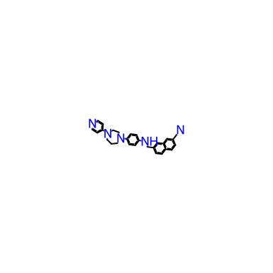 N#Cc1ccc2ccc(CNc3ccc(N4CCCN(c5ccncc5)CC4)cc3)cc2c1